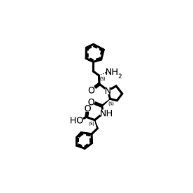 N[C@@H](Cc1ccccc1)C(=O)N1CCC[C@H]1C(=O)N[C@@H](Cc1ccccc1)C(=O)O